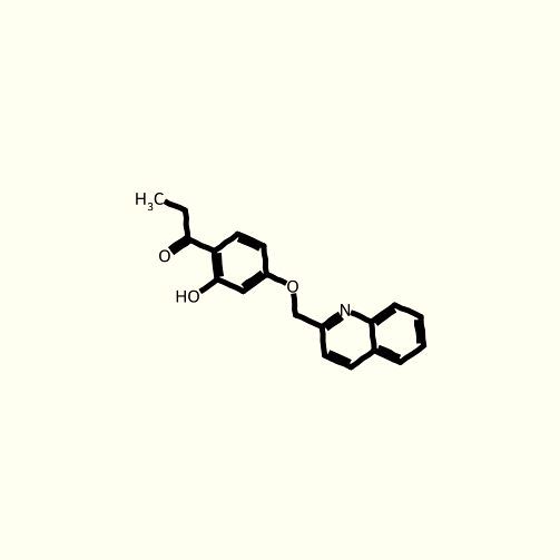 CCC(=O)c1ccc(OCc2ccc3ccccc3n2)cc1O